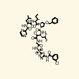 CC[C@@H](C)[C@H](NC(=O)C(CC(C)C)NC(=O)c1cnccn1)C(=O)N1C[C@H](OCc2ccccc2)C[C@@H]1C(=O)N[C@@H](CC(F)F)C(=O)C(=O)NCC(=O)NS(=O)(=O)c1nnc(NC(=O)c2cccc(Cl)c2)s1